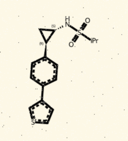 CC(C)S(=O)(=O)N[C@H]1C[C@@H]1c1ccc(-c2ccsc2)cc1